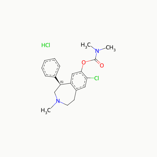 CN1CCc2cc(Cl)c(OC(=O)N(C)C)cc2[C@H](c2ccccc2)C1.Cl